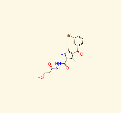 Cc1[nH]c(C(=O)NNC(=O)CCO)c(C)c1C(=O)c1cccc(Br)c1